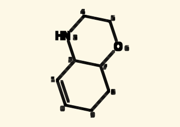 C1=CC2NCCOC2CC1